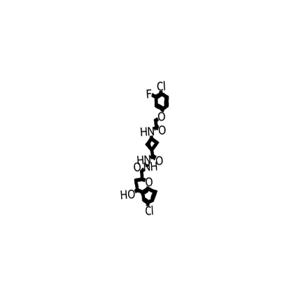 O=C(COc1ccc(Cl)c(F)c1)NC12CC(C(=O)NNC(=O)C3CC(O)c4cc(Cl)ccc4O3)(C1)C2